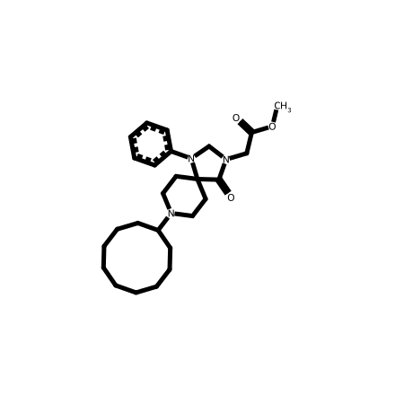 COC(=O)CN1CN(c2ccccc2)C2(CCN(C3CCCCCCCCC3)CC2)C1=O